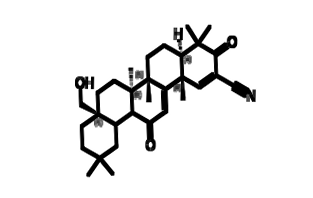 CC1(C)CC[C@]2(CO)CC[C@]3(C)C(C(=O)C=C4[C@@]5(C)C=C(C#N)C(=O)C(C)(C)[C@@H]5CC[C@]43C)C2C1